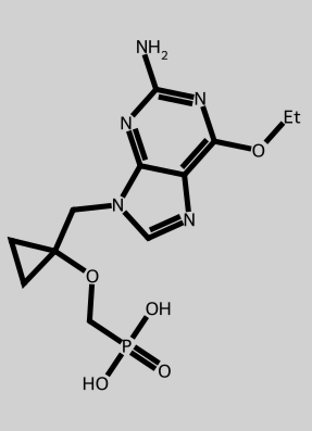 CCOc1nc(N)nc2c1ncn2CC1(OCP(=O)(O)O)CC1